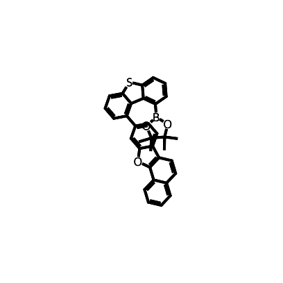 CC1(C)OB(c2cccc3sc4cccc(-c5ccc6c(c5)oc5c7ccccc7ccc65)c4c23)OC1(C)C